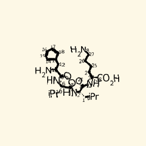 CC(C)C[C@H](NC(=O)[C@@H](NC(=O)[C@@H](N)Cc1ccccc1)C(C)C)C(=O)N[C@@H](CCCCN)C(=O)O